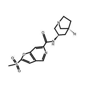 CS(=O)(=O)c1cc2cnc(C(=O)N[C@@H]3C[C@@H]4CCN(C4)C3)cc2o1